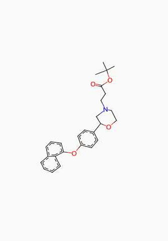 CC(C)(C)OC(=O)CCN1CCOC(c2ccc(Oc3cccc4ccccc34)cc2)C1